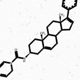 C[C@]12CC[C@H](NC(=O)N3C=CN=CC3)CC1=CCC1C2CC[C@]2(C)C(c3cncnc3)=CCC12